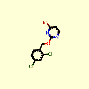 Clc1ccc(COc2nccc(Br)n2)c(Cl)c1